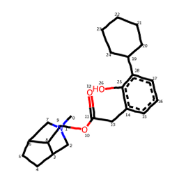 CN1CC2CCC(C1)C2COC(=O)Cc1cccc(C2CCCCC2)c1O